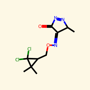 CC1N=NC(=O)C1=NOCC1C(C)(C)C1(Cl)Cl